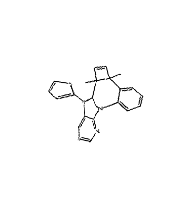 CC12C=CC1(C)C1N(c3cccs3)c3cncnc3N1c1ccccc12